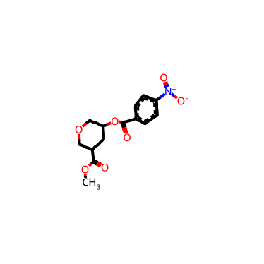 COC(=O)C1COCC(OC(=O)c2ccc([N+](=O)[O-])cc2)C1